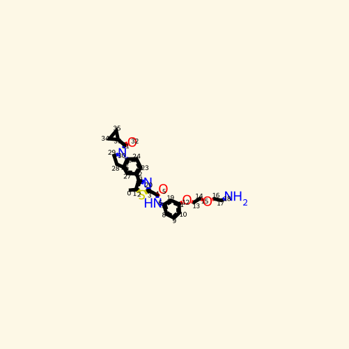 Cc1sc(C(=O)Nc2cccc(OCCOCCN)c2)nc1-c1ccc2c(c1)CCN2C(=O)C1CC1